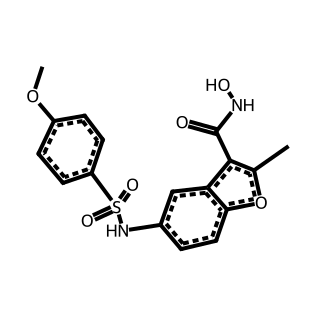 COc1ccc(S(=O)(=O)Nc2ccc3oc(C)c(C(=O)NO)c3c2)cc1